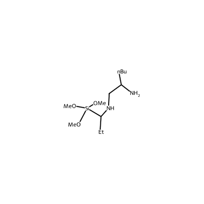 CCCCC(N)CNC(CC)[Si](OC)(OC)OC